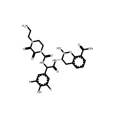 NCCN1CCN(C(=O)NC(C(=O)N[C@H]2Cc3cccc(C(=O)O)c3OB2O)c2cc(F)c(O)c(F)c2)C(=O)C1=O